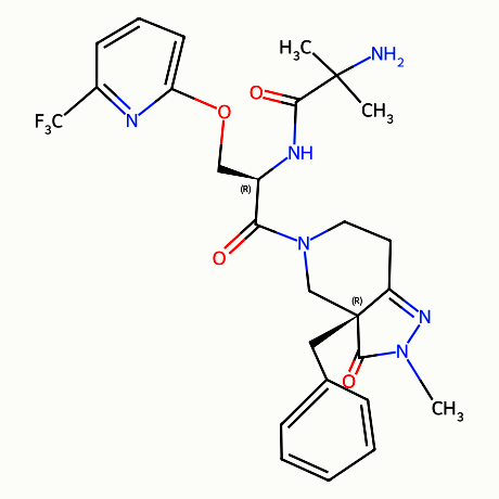 CN1N=C2CCN(C(=O)[C@@H](COc3cccc(C(F)(F)F)n3)NC(=O)C(C)(C)N)C[C@@]2(Cc2ccccc2)C1=O